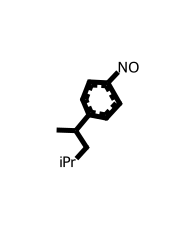 CC(C)CC(C)c1ccc(N=O)cc1